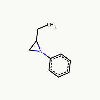 CCC1CN1c1ccccc1